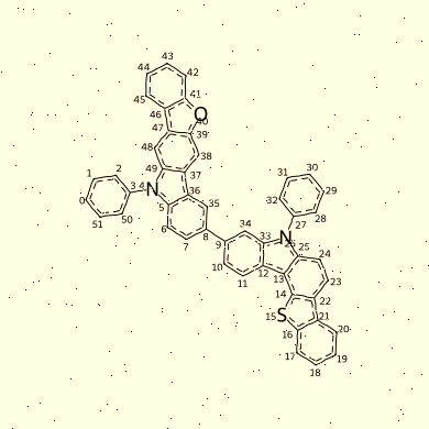 c1ccc(-n2c3ccc(-c4ccc5c6c7sc8ccccc8c7ccc6n(-c6ccccc6)c5c4)cc3c3cc4oc5ccccc5c4cc32)cc1